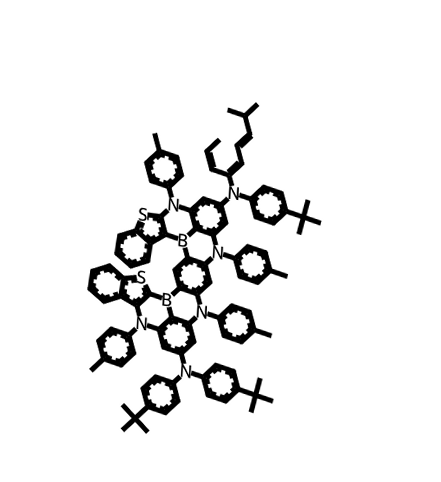 C\C=C/C(=C\C=C\C(C)C)N(c1ccc(C(C)(C)C)cc1)c1cc2c3c(c1)N(c1ccc(C)cc1)c1sc4ccccc4c1B3c1cc3c(cc1N2c1ccc(C)cc1)N(c1ccc(C)cc1)c1cc(N(c2ccc(C(C)(C)C)cc2)c2ccc(C(C)(C)C)cc2)cc2c1B3c1sc3ccccc3c1N2c1ccc(C)cc1